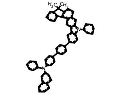 CC1(C)c2ccccc2-c2c1ccc1cc3c(cc21)c1cc(-c2ccc(-c4ccc(N(c5ccccc5)c5ccc6ccccc6c5)cc4)cc2)ccc1n3-c1ccccc1